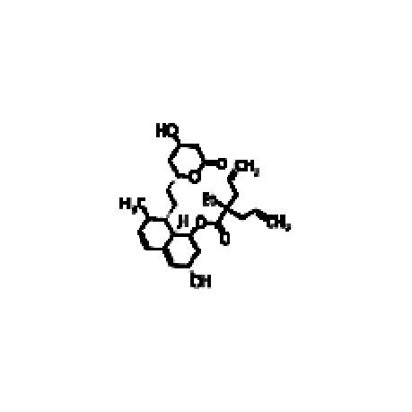 C=CCC(CC)(CC=C)C(=O)O[C@H]1C[C@H](O)C=C2C=C[C@@H](C)[C@H](CC[C@@H]3C[C@@H](O)CC(=O)O3)[C@H]21